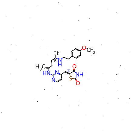 CC[C@H](CC[C@@H](C)Nc1nccc(/C=C2\SC(=O)NC2=O)n1)NCCc1ccc(OC(F)(F)F)cc1